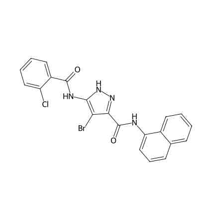 O=C(Nc1[nH]nc(C(=O)Nc2cccc3ccccc23)c1Br)c1ccccc1Cl